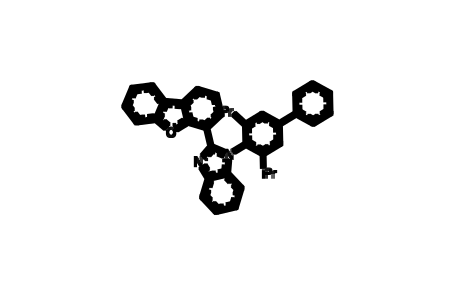 CC(C)c1cc(-c2ccccc2)cc(C(C)C)c1-n1c(-c2cccc3c2oc2ccccc23)nc2ccccc21